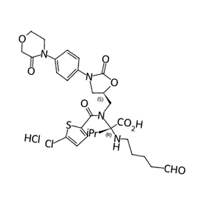 CC(C)[C@](NCCCCC=O)(C(=O)O)N(C[C@H]1CN(c2ccc(N3CCOCC3=O)cc2)C(=O)O1)C(=O)c1ccc(Cl)s1.Cl